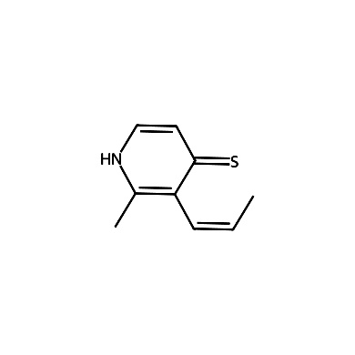 C/C=C\c1c(C)[nH]ccc1=S